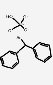 CC(=O)C(c1ccccc1)c1ccccc1.[O-][I+3]([O-])([O-])O